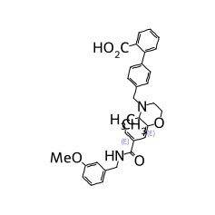 C/C=C(\C=C1\OCCN(Cc2ccc(-c3ccccc3C(=O)O)cc2)C1C)C(=O)NCc1cccc(OC)c1